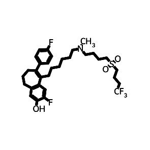 CN(CCCCCCC1=C(c2ccc(F)cc2)CCCc2cc(O)c(F)cc21)CCCCS(=O)(=O)CCCC(F)(F)F